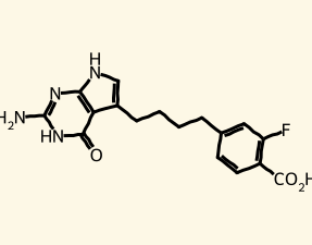 Nc1nc2[nH]cc(CCCCc3ccc(C(=O)O)c(F)c3)c2c(=O)[nH]1